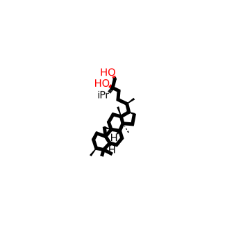 CC(C)C(O)(CO)CC[C@@H](C)[C@H]1CC[C@@]2(C)[C@@H]3CC[C@H]4C(C)(C)[C@@H](C)CCC45C[C@@]35CC[C@]12C